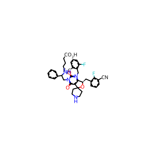 N#Cc1cccc(C[C@H]2OC3(CCNCC3)c3c2n(Cc2c(F)cccc2C(F)(F)F)c(=O)n(CC(NCCCC(=O)O)c2ccccc2)c3=O)c1F